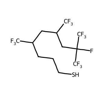 FC(F)(F)C(CCCS)CC(CC(F)(C(F)(F)F)C(F)(F)F)C(F)(F)F